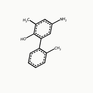 Cc1ccccc1-c1cc(N)cc(C)c1O